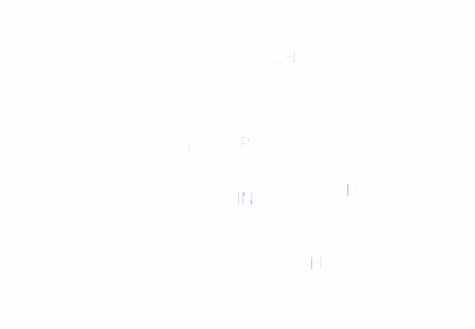 CC(C)NP(=O)(CO)Oc1ccccc1